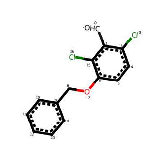 O=[C]c1c(Cl)ccc(OCc2ccccc2)c1Cl